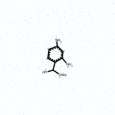 CCCC(OC)c1ccc(N)cc1N